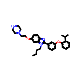 CCCCn1c(-c2cccc(Oc3ccccc3C(C)C)c2)nc2ccc(OCCN3CCNCC3)cc21